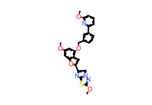 COc1cc(OCc2cccc(-c3cccc(OC)n3)c2)c2cc(-c3cn4nc(OC)sc4n3)oc2c1